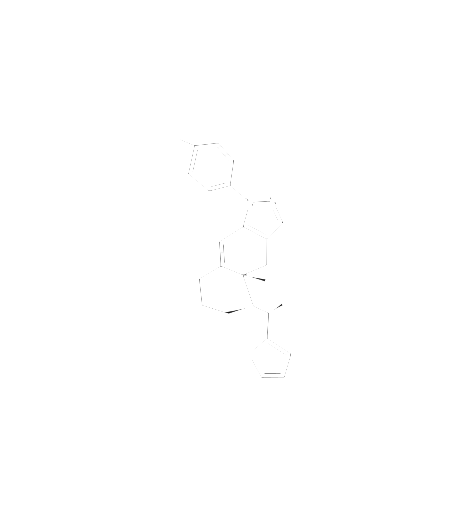 C[C@]12Cc3cnn(-c4ccc(F)cc4)c3C=C1CCC[C@@H]2[C@@H](O)c1cccs1